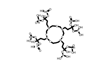 O=[PH](O)OC(O)(CCN1CCCN(CCC(O)(O[PH](=O)O)O[PH](=O)O)CCN(CCC(O)(O[PH](=O)O)O[PH](=O)O)CCCN(CCC(O)(OP(O)O)O[PH](=O)O)CC1)OP(O)O